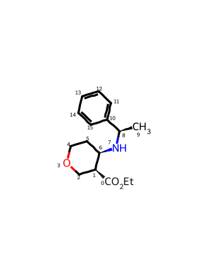 CCOC(=O)[C@H]1COCC[C@H]1N[C@H](C)c1ccccc1